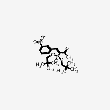 CC(=O)C(=Cc1cccc([N+](=O)[O-])c1)P(=O)(OCC(C)(C)C)OCC(C)(C)C